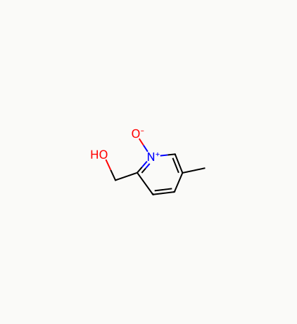 Cc1ccc(CO)[n+]([O-])c1